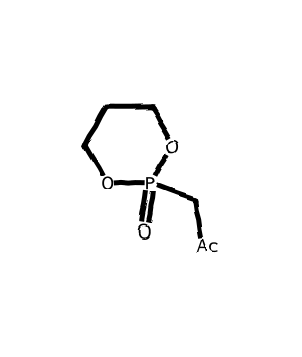 CC(=O)CP1(=O)OCCCO1